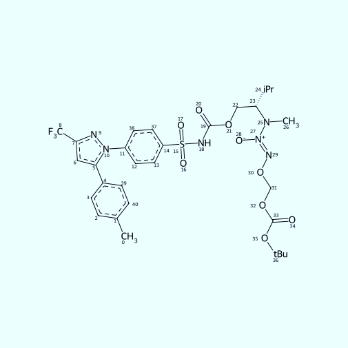 Cc1ccc(-c2cc(C(F)(F)F)nn2-c2ccc(S(=O)(=O)NC(=O)OC[C@H](C(C)C)N(C)[N+]([O-])=NOCOC(=O)OC(C)(C)C)cc2)cc1